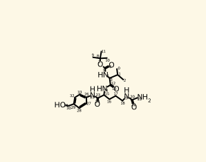 CC(C)C(NC(=O)OC(C)(C)C)C(=O)NC(CCCNC(N)=O)C(=O)Nc1ccc(CO)cc1